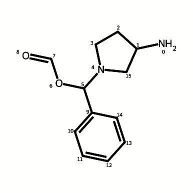 NC1CCN(C(OC=O)c2ccccc2)C1